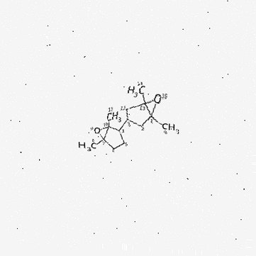 CC12CC(C3CCC4(C)OC34C)CC1(C)O2